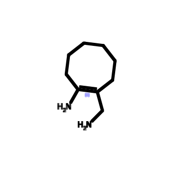 NC/C1=C(\N)CCCCCC1